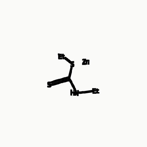 CCNC(=S)SCC.[Zn]